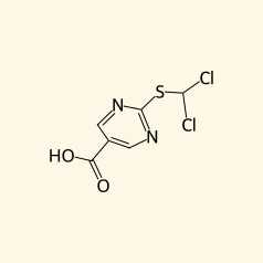 O=C(O)c1cnc(SC(Cl)Cl)nc1